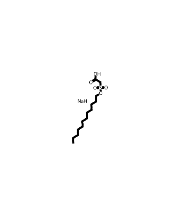 CCCCCCCCCCCCOS(=O)(=O)CC(=O)O.[NaH]